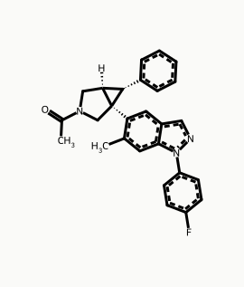 CC(=O)N1C[C@H]2[C@H](c3ccccc3)[C@@]2(c2cc3cnn(-c4ccc(F)cc4)c3cc2C)C1